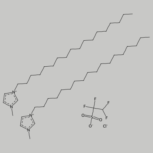 CCCCCCCCCCCCCCCCCC[n+]1ccn(C)c1.CCCCCCCCCCCCCCCCCC[n+]1ccn(C)c1.O=S(=O)([O-])C(F)(F)C(F)F.[Cl-]